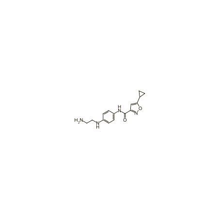 NCCNc1ccc(NC(=O)c2cc(C3CC3)on2)cc1